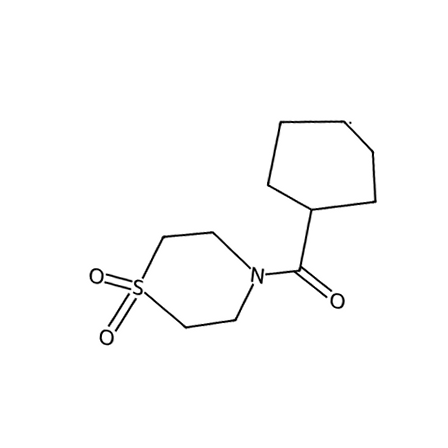 O=C(C1CC[CH]CC1)N1CCS(=O)(=O)CC1